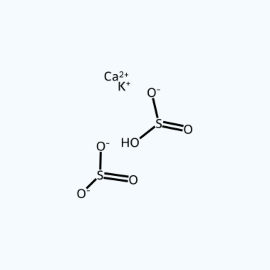 O=S([O-])O.O=S([O-])[O-].[Ca+2].[K+]